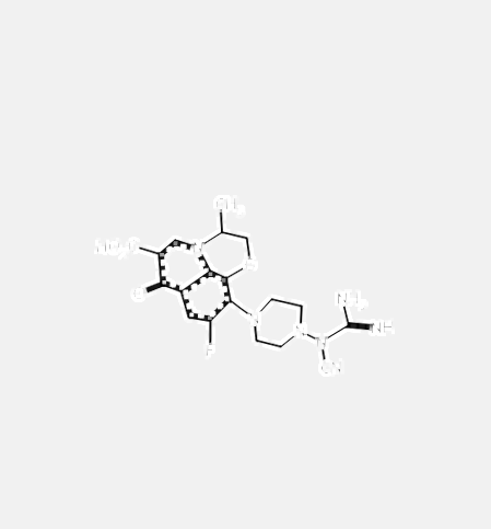 CC1COc2c(N3CCN(N(C#N)C(=N)N)CC3)c(F)cc3c(=O)c(C(=O)O)cn1c23